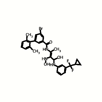 C/C(NC(=O)c1cc(Br)cc(-c2c(C)cccc2C)c1)=C(/NO)C(O)Nc1cccc(C(F)(F)C2CC2)c1